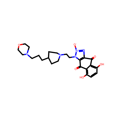 O=C1c2n[n+]([O-])n(CCN3CCC(CCCN4CCOCC4)CC3)c2C(=O)c2c(O)ccc(O)c21